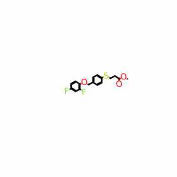 COC(=O)CCSc1ccc(COc2ccc(F)cc2F)cc1